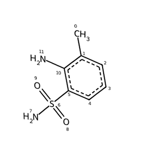 Cc1cccc(S(N)(=O)=O)c1N